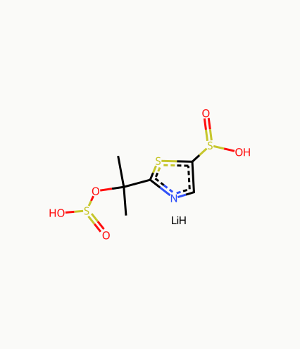 CC(C)(OS(=O)O)c1ncc(S(=O)O)s1.[LiH]